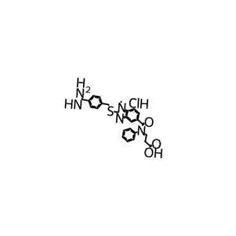 Cl.Cn1c(SCc2ccc(C(=N)N)cc2)nc2cc(C(=O)N(CCC(=O)O)c3ccccc3)ccc21